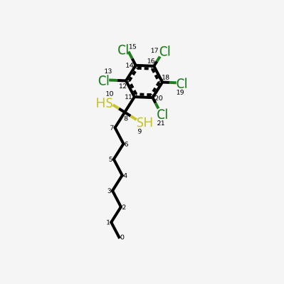 CCCCCCCCC(S)(S)c1c(Cl)c(Cl)c(Cl)c(Cl)c1Cl